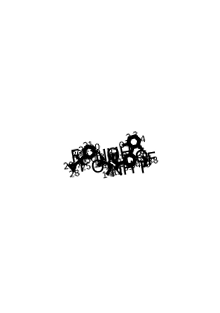 Cc1cccc(C)c1-c1cc(-c2[nH]c(C)c(C(=O)Nc3cccc(C(F)(F)C4CC4)c3)[n+]2O)ccc1OC(F)F